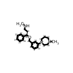 CNCC[C@@H](OCc1cccc(N2CCCN(C)CC2)c1)c1ccccc1